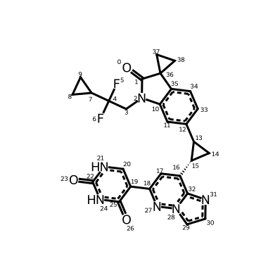 O=C1N(CC(F)(F)C2CC2)c2cc(C3C[C@@H]3c3cc(-c4c[nH]c(=O)[nH]c4=O)nn4ccnc34)ccc2C12CC2